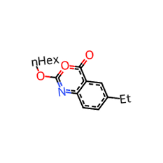 CCCCCCOc1nc2ccc(CC)cc2c(=O)o1